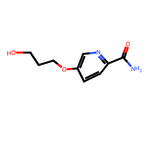 NC(=O)c1ccc(OCCCO)cn1